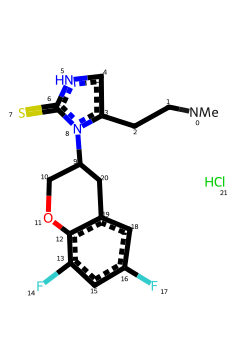 CNCCc1c[nH]c(=S)n1C1COc2c(F)cc(F)cc2C1.Cl